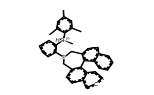 Cc1cc(C)c([Si@@H](C)c2ccccc2P2Cc3ccc4ccccc4c3-c3c(ccc4ccccc34)C2)c(C)c1